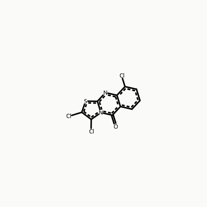 O=c1c2cccc(Cl)c2nc2sc(Cl)c(Cl)n12